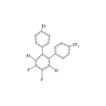 CCc1ccc(-c2c(CC)c(F)c(F)c([O])c2-c2ccc(C(F)(F)F)cc2)cc1